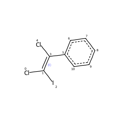 Cl/C(I)=C(\Cl)c1ccccc1